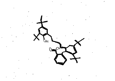 CC(C)(C)C1=CC(C(C)(C)C)=C(c2ccccc2C(=O)O)C(=CCCCc2cc(C(C)(C)C)cc(C(C)(C)C)c2O)C1